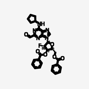 O=Cc1nc(NC2CCCC2)c2ncn([C@@H]3O[C@H](COC(=O)c4ccccc4)[C@@H](OC(=O)c4ccccc4)[C@@H]3F)c2n1